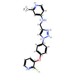 Fc1ncccc1Oc1ccc(-n2cc(CNc3ccnc(C(F)(F)F)c3)nn2)cc1